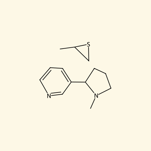 CC1CS1.CN1CCCC1c1cccnc1